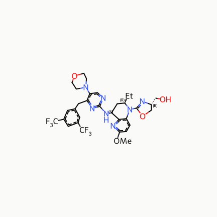 CC[C@@H]1C[C@H](Nc2ncc(N3CCOCC3)c(Cc3cc(C(F)(F)F)cc(C(F)(F)F)c3)n2)c2nc(OC)ccc2N1C1=N[C@H](CO)CO1